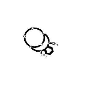 CN1CCN2CCOCCOCCN(CCOCC2)CCN(C)c2ccccc21